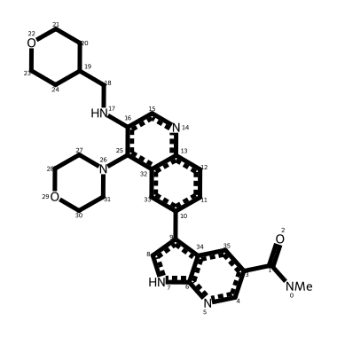 CNC(=O)c1cnc2[nH]cc(-c3ccc4ncc(NCC5CCOCC5)c(N5CCOCC5)c4c3)c2c1